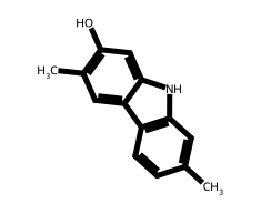 Cc1ccc2c(c1)[nH]c1cc(O)c(C)cc12